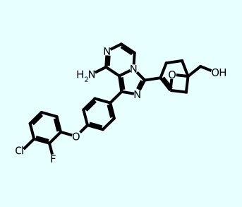 Nc1nccn2c(C3=C4CC(CO)(CC3)O4)nc(-c3ccc(Oc4cccc(Cl)c4F)cc3)c12